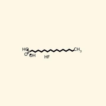 CCCCCCCCCCCCCCCP(=O)(O)O.F